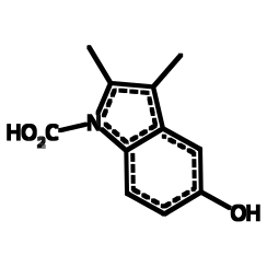 Cc1c(C)n(C(=O)O)c2ccc(O)cc12